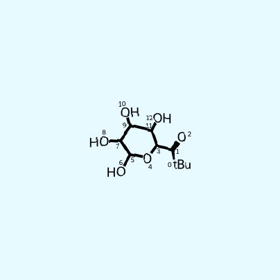 CC(C)(C)C(=O)C1OC(O)C(O)C(O)C1O